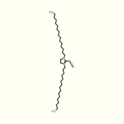 CCCCCCCCCCCCCCCCN1CC[N+](CCCCCCCCCCCCCCCC)=C1N=[N+]=[N-]